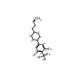 C=CCCC1CCC(c2cc(F)c(C(F)(F)F)c(F)c2)CC1